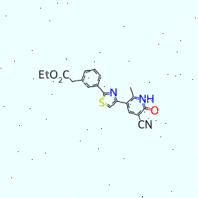 CCOC(=O)Cc1cccc(-c2nc(-c3cc(C#N)c(=O)[nH]c3C)cs2)c1